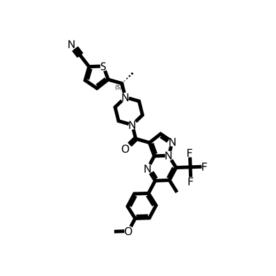 COc1ccc(-c2nc3c(C(=O)N4CCN([C@@H](C)c5ccc(C#N)s5)CC4)cnn3c(C(F)(F)F)c2C)cc1